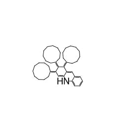 C1=c2c(cc(=C3CCCCCCCCC3)c(=C3CCCCCCCCC3)c2=C2CCCCCCCCC2)Nc2ccccc21